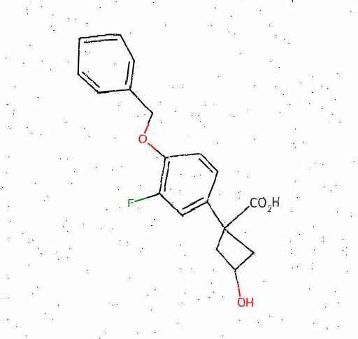 O=C(O)C1(c2ccc(OCc3ccccc3)c(F)c2)CC(O)C1